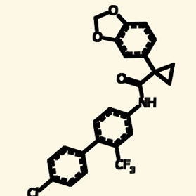 O=C(Nc1ccc(-c2ccc(Cl)cc2)c(C(F)(F)F)c1)C1(c2ccc3c(c2)OCO3)CC1